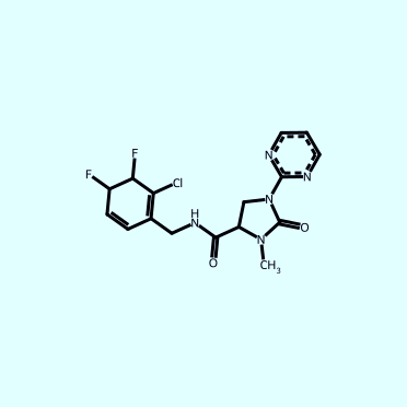 CN1C(=O)N(c2ncccn2)CC1C(=O)NCC1=C(Cl)C(F)C(F)C=C1